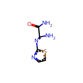 NC(=O)C(N)=Nc1nccs1